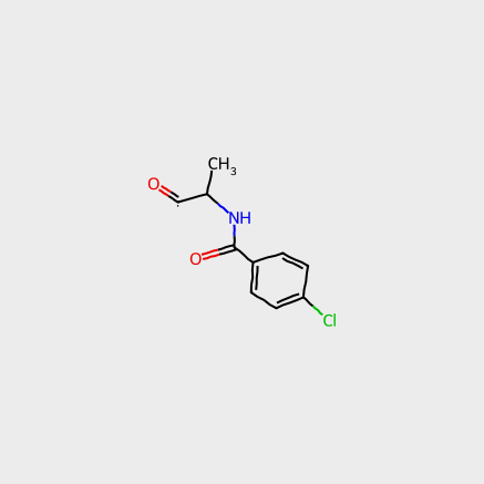 CC([C]=O)NC(=O)c1ccc(Cl)cc1